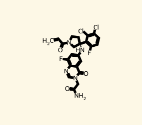 C=CC(=O)N1CC[C@@](Nc2cc(F)c3ncn(CC(N)=O)c(=O)c3c2)(c2c(F)ccc(Cl)c2Cl)C1